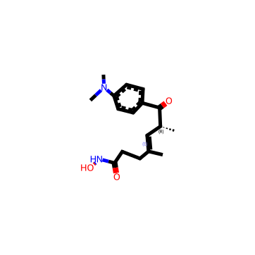 C/C(=C\[C@@H](C)C(=O)c1ccc(N(C)C)cc1)CCC(=O)NO